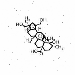 C[C@@H]1CC[C@]2(C(=O)O)CC[C@]3(C)C(=CC[C@@H]4[C@@]5(C)C(CO)=C[C@](C)(CO)[C@@H]5CC[C@]43C)[C@@H]2[C@]1(C)O